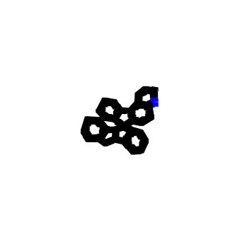 c1ccc2c(c1)CC1=C2C2(c3ccccc31)c1ccccc1-c1c2ccc2ncccc12